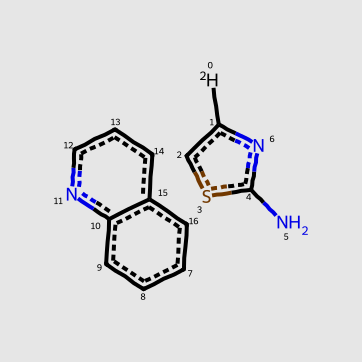 [2H]c1csc(N)n1.c1ccc2ncccc2c1